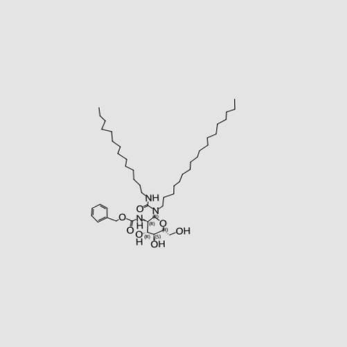 CCCCCCCCCCCCCCCCCCN(C(=O)NCCCCCCCCCCCCCC)[C@@H]1O[C@H](CO)[C@@H](O)[C@H](O)[C@H]1NC(=O)OCc1ccccc1